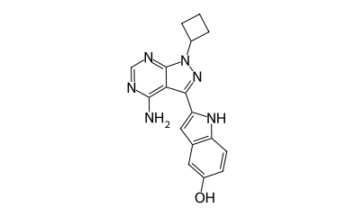 Nc1ncnc2c1c(-c1cc3cc(O)ccc3[nH]1)nn2C1CCC1